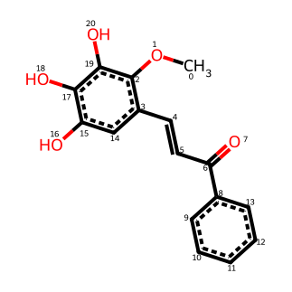 COc1c(C=CC(=O)c2ccccc2)cc(O)c(O)c1O